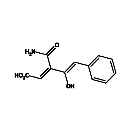 NC(=O)C(=C\C(=O)O)/C(O)=C/c1ccccc1